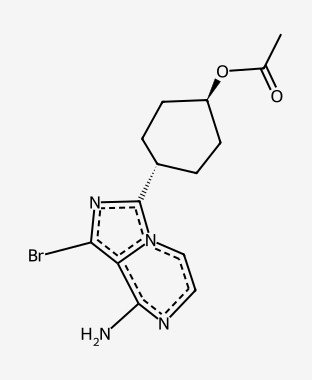 CC(=O)O[C@H]1CC[C@H](c2nc(Br)c3c(N)nccn32)CC1